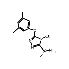 CCn1c(Oc2cc(C)cc(C)c2)nnc1[C@@H](C)N